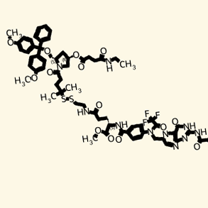 CCNC(=O)CCC(=O)O[C@@H]1C[C@@H](COC(c2ccccc2)(c2ccc(OC)cc2)c2ccc(OC)cc2)N(C(=O)CCC(C)(C)SSCCNC(=O)CC[C@H](NC(=O)c2ccc(N(Cc3cnc4nc(NC(=O)C(C)C)[nH]c(=O)c4n3)C(=O)C(F)(F)F)cc2)C(=O)OC)C1